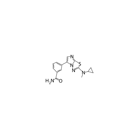 CN(c1nn2c(-c3cccc(C(N)=O)c3)cnc2s1)C1CC1